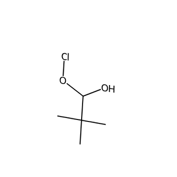 CC(C)(C)C(O)OCl